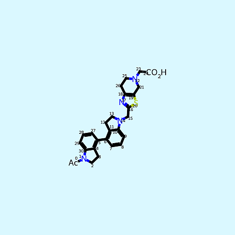 CC(=O)N1CCc2c(-c3cccc4c3CCN4Cc3nc4c(s3)CN(CC(=O)O)CC4)cccc21